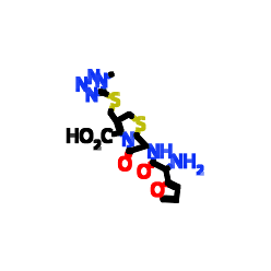 Cn1nnnc1SCC1=C(C(=O)O)N2C(=O)[C@@H](NC(=O)C(N)c3ccco3)C2SC1